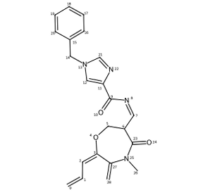 C=C/C=C1/OCC(/C=N\C(=O)c2cn(Cc3ccccc3)cn2)C(=O)N(C)C1=C